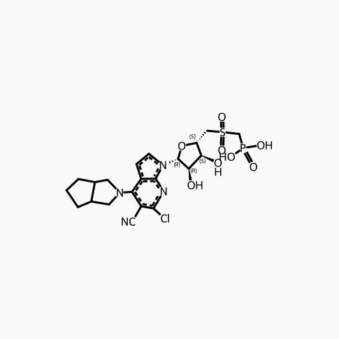 N#Cc1c(Cl)nc2c(ccn2[C@@H]2O[C@H](CS(=O)(=O)CP(=O)(O)O)[C@@H](O)[C@H]2O)c1N1CC2CCCC2C1